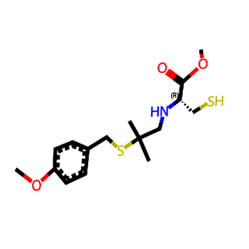 COC(=O)[C@H](CS)NCC(C)(C)SCc1ccc(OC)cc1